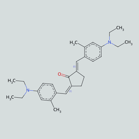 CCN(CC)c1ccc(/C=C2/CC/C(=C\c3ccc(N(CC)CC)cc3C)C2=O)c(C)c1